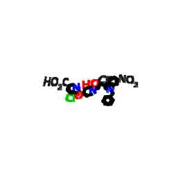 O=C(O)c1cnc(OC2CCN(CC(O)(c3cn(Cc4ccccc4)c4cc([N+](=O)[O-])ccc34)C(F)(F)F)CC2)c(Cl)c1